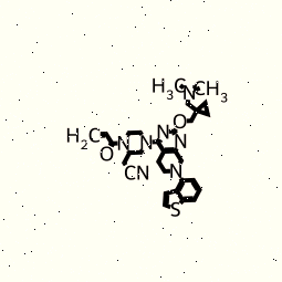 C=CC(=O)N1CCN(c2nc(OCC3(CN(C)C)CC3)nc3c2CCN(c2cccc4sccc24)C3)CC1CC#N